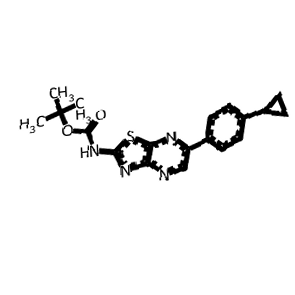 CC(C)(C)OC(=O)Nc1nc2ncc(-c3ccc(C4CC4)cc3)nc2s1